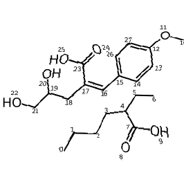 CCCCC(CC)C(=O)O.COc1ccc(C=C(CC(O)CO)C(=O)O)cc1